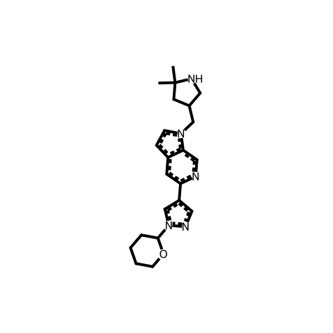 CC1(C)CC(Cn2ccc3cc(-c4cnn(C5CCCCO5)c4)ncc32)CN1